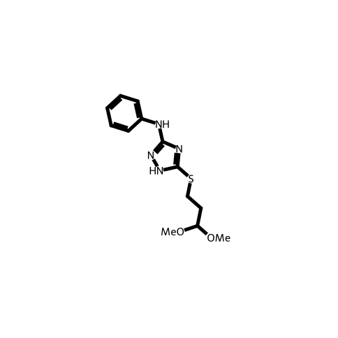 COC(CCSc1nc(Nc2ccccc2)n[nH]1)OC